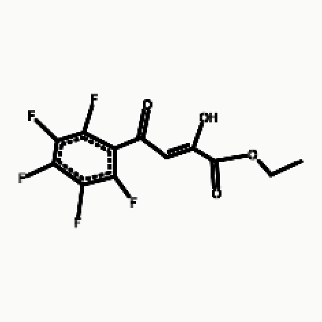 CCOC(=O)/C(O)=C/C(=O)c1c(F)c(F)c(F)c(F)c1F